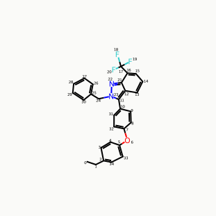 CCc1ccc(Oc2ccc(-c3c4cccc(C(F)(F)F)c4nn3Cc3ccccc3)cc2)cc1